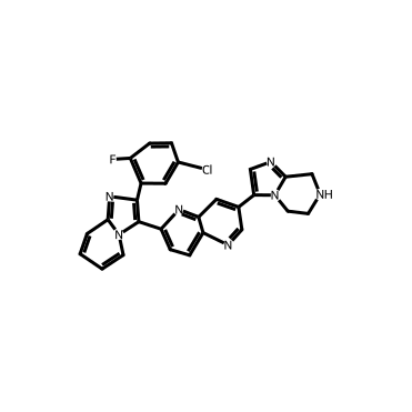 Fc1ccc(Cl)cc1-c1nc2ccccn2c1-c1ccc2ncc(-c3cnc4n3CCNC4)cc2n1